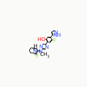 CN(c1cnc(-c2cc(F)c(-c3ccn[nH]3)cc2O)cn1)[C@H]1C[C@@H]2CCCC(N2)[C@H]1F